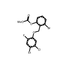 CCc1cc(F)c(OCc2c(Br)cccc2OC(=O)OC)cc1Cl